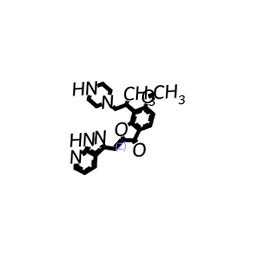 COc1ccc2c(c1C(C)CN1CCNCC1)O/C(=C\c1n[nH]c3ncccc13)C2=O